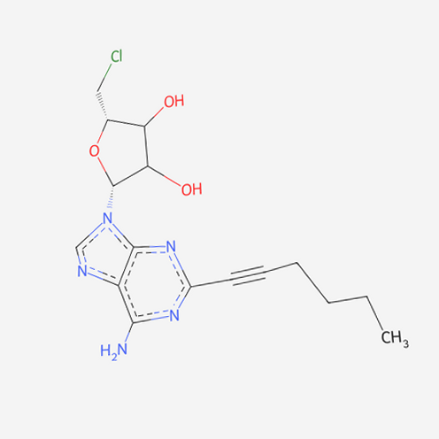 CCCCC#Cc1nc(N)c2ncn([C@@H]3O[C@H](CCl)C(O)C3O)c2n1